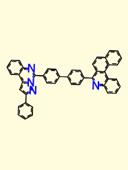 c1ccc(-c2cc3c4ccccc4nc(-c4ccc(-c5ccc(-c6nc7ccccc7c7c6ccc6ccccc67)cc5)cc4)n3n2)cc1